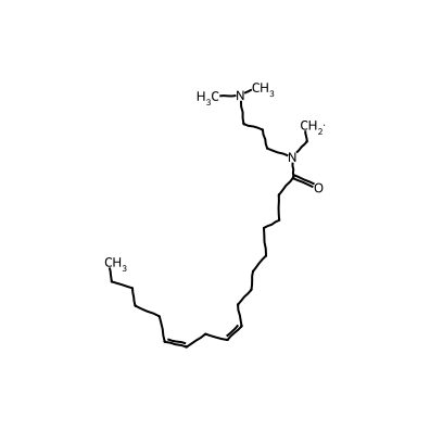 [CH2]CN(CCCN(C)C)C(=O)CCCCCCC/C=C\C/C=C\CCCCC